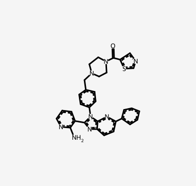 Nc1ncccc1-c1nc2ccc(-c3ccccc3)nc2n1-c1ccc(CN2CCN(C(=O)c3cncs3)CC2)cc1